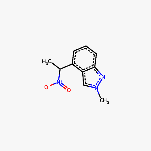 CC(c1cccc2nn(C)cc12)[N+](=O)[O-]